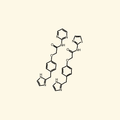 O=C(COc1ccc(Cc2ncc[nH]2)cc1)Nc1ncccn1.O=C(COc1ccc(Cc2ncc[nH]2)cc1)Nc1nccs1